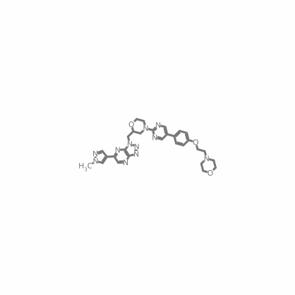 Cn1cc(-c2cnc3nnn(CC4CN(c5ncc(-c6ccc(OCCN7CCOCC7)cc6)cn5)CCO4)c3n2)cn1